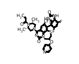 C=CC(=O)N1[C@H](C)CN(c2nc(=O)n3c4c(c(-c5c(F)cc(F)c6[nH]c(=O)[nH]c56)c(C(F)(F)F)cc24)SCC(Oc2ccncc2)C3)C[C@@H]1C